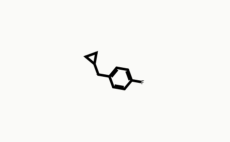 Fc1ccc([CH]C2CC2)cc1